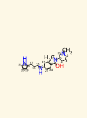 CN1CCCC(N(C)C(O)C2=CC[C@H](NCCCc3ccc[nH]3)C=C2)C1